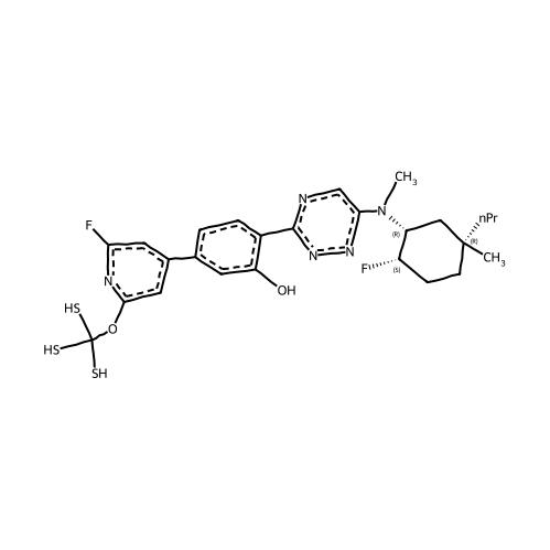 CCC[C@]1(C)CC[C@H](F)[C@H](N(C)c2cnc(-c3ccc(-c4cc(F)nc(OC(S)(S)S)c4)cc3O)nn2)C1